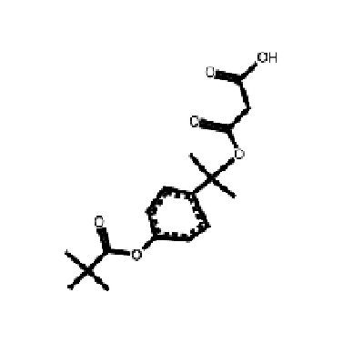 CC(C)(C)C(=O)Oc1ccc(C(C)(C)OC(=O)CC(=O)O)cc1